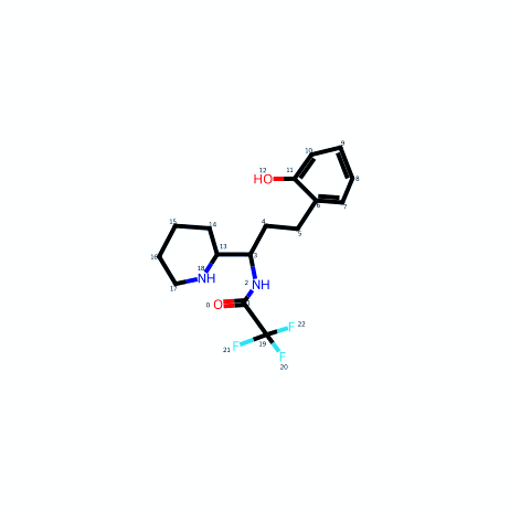 O=C(NC(CCc1ccccc1O)C1CCCCN1)C(F)(F)F